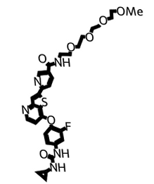 COCCOCCOCCOCCNC(=O)c1ccc(-c2cc3nccc(Oc4ccc(NC(=O)NC5CC5)cc4F)c3s2)nc1